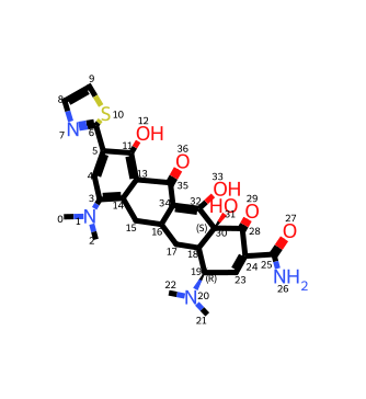 CN(C)c1cc(-c2nccs2)c(O)c2c1CC1CC3[C@H](N(C)C)C=C(C(N)=O)C(=O)[C@@]3(O)C(O)=C1C2=O